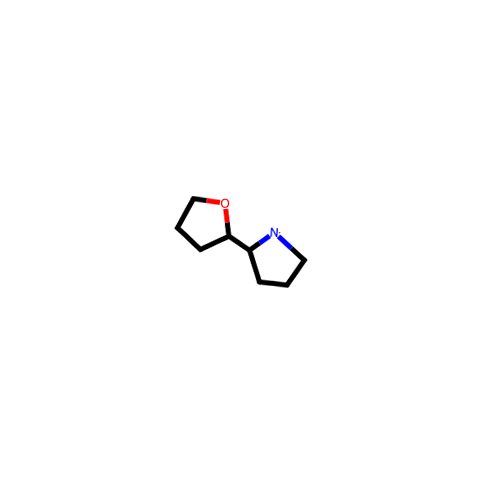 C1C[N]C(C2CCCO2)C1